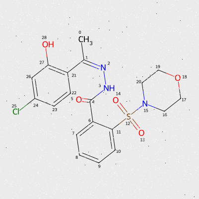 C/C(=N/NC(=O)c1ccccc1S(=O)(=O)N1CCOCC1)c1ccc(Cl)cc1O